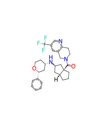 O=C(N1CCc2ncc(C(F)(F)F)cc2C1)[C@@]12CCC[C@@H]1C[C@@H](N[C@H]1CCO[C@@H](c3ccccc3)C1)C2